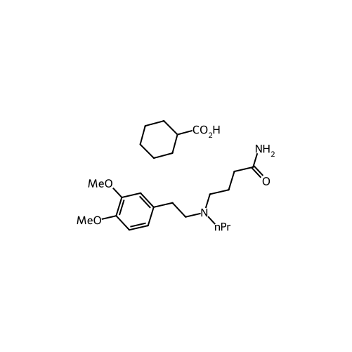 CCCN(CCCC(N)=O)CCc1ccc(OC)c(OC)c1.O=C(O)C1CCCCC1